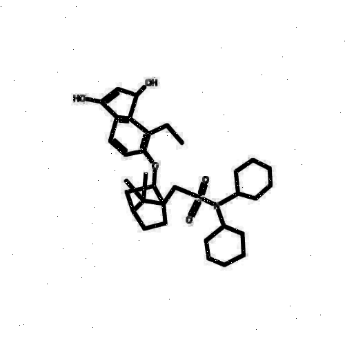 CCc1c(OC2CC3CCC2(CS(=O)(=O)N(C2CCCCC2)C2CCCCC2)C3(C)C)ccc2c1C(O)C=C2O